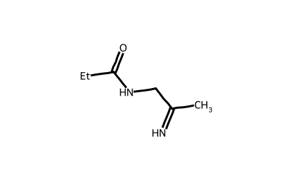 CCC(=O)NCC(C)=N